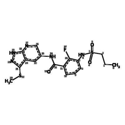 CCCS(=O)(=O)Nc1cccc(C(=O)Nc2cnc3[nH]nc(SC)c3c2)c1F